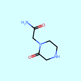 NC(=O)CN1CCNCC1=O